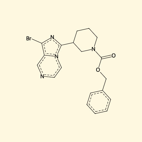 O=C(OCc1ccccc1)N1CCCC(c2nc(Br)c3cnccn23)C1